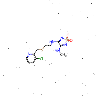 CNC1=NS(=O)(=O)N=C1NCCSCc1ncccc1Cl